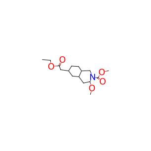 CCOC(=O)CC1CCC2CN(C(=O)OC)C(OC)CC2C1